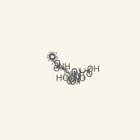 C=C(CCC(=O)O)n1c(=O)n(C)c(=O)n([C@@H](CCCCNC(=O)OCc2ccccc2)C(=O)O)c1=O